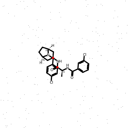 C[C@H](NC(=O)c1cccc(Cl)c1)C(=O)NC1C[C@H]2CC[C@@H](C1)N2Cc1ccc(Cl)cc1